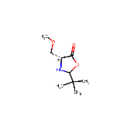 COC[C@H]1NC(C(C)(C)C)OC1=O